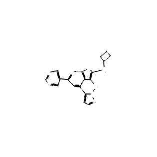 [O-][S+](c1sc2nc(-c3cncnc3)cc3c2c1[nH]n1nccc31)C1CCC1